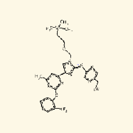 Cc1cc(-c2cn(COCC[Si](C)(C)C)/c(=N/c3cnc(CO)cn3)s2)nc(Oc2ccccc2C(F)(F)F)n1